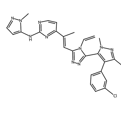 C=Cn1c(/C=C(\C)c2ccnc(Nc3ccnn3C)n2)nnc1-c1c(-c2cccc(Cl)c2)c(C)nn1C